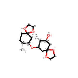 C[C@@H]1CCC2(C[C@H]1OC1CC3(C[C@H](O)[C@H]1C)OCCO3)OCCO2